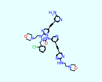 Nc1cncc(C#Cc2cnc(N(CCN3CCOCC3)N(Cc3ccccc3Cl)C(=O)Nc3cncc(C#Cc4cnc(NCCN5CCOCC5)nc4)c3)nc2)c1